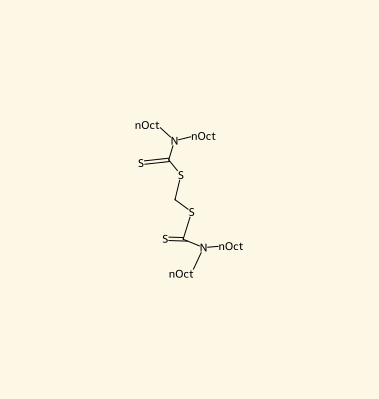 CCCCCCCCN(CCCCCCCC)C(=S)SCSC(=S)N(CCCCCCCC)CCCCCCCC